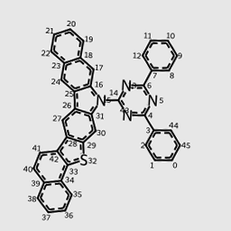 c1ccc(-c2nc(-c3ccccc3)nc(-n3c4cc5ccccc5cc4c4cc5c(cc43)sc3c4ccccc4ccc53)n2)cc1